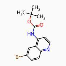 CC(C)(C)OC(=O)Nc1ccnc2ccc(Br)cc12